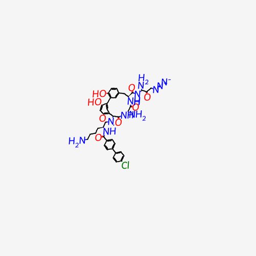 CN(C(=O)[C@H](CCCCN)NC(=O)c1ccc(-c2ccc(Cl)cc2)cc1)[C@@H]1C(=O)N[C@@H](N)C(=O)N[C@H](C(=O)N[C@@H](N)C(=O)CN=[N+]=[N-])Cc2ccc(O)c(c2)-c2cc1ccc2O